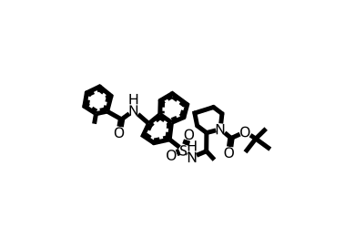 Cc1ccccc1C(=O)Nc1ccc(S(=O)(=O)NC(C)C2CCCCN2C(=O)OC(C)(C)C)c2ccccc12